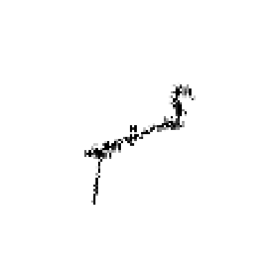 CCCCCCCCCCCCCCCCCC(=O)NC(CCC(=O)NCCOCCOCC(=O)NCCOCCOCC(=O)NCCCCCC(=O)NC(CCC(=O)N1CCN(C(=O)CCC(N)C(=O)O)CC1)C(=O)O)C(=O)O